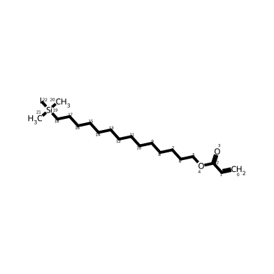 C=CC(=O)OCCCCCCCCCCCCCC[Si](C)(C)I